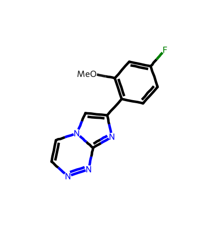 COc1cc(F)ccc1-c1cn2ccnnc2n1